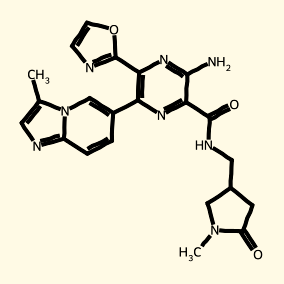 Cc1cnc2ccc(-c3nc(C(=O)NCC4CC(=O)N(C)C4)c(N)nc3-c3ncco3)cn12